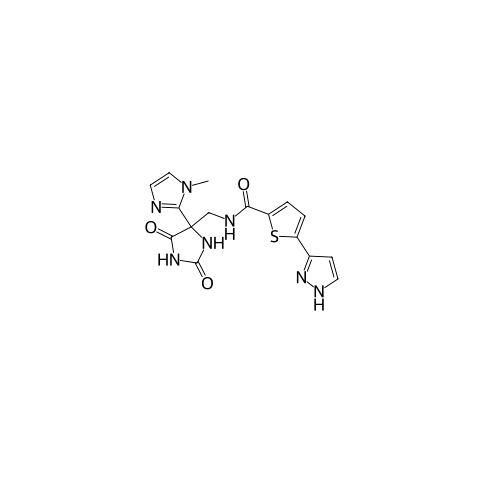 Cn1ccnc1C1(CNC(=O)c2ccc(-c3cc[nH]n3)s2)NC(=O)NC1=O